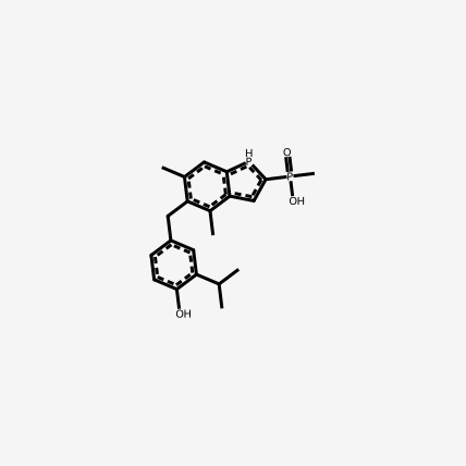 Cc1cc2[pH]c(P(C)(=O)O)cc2c(C)c1Cc1ccc(O)c(C(C)C)c1